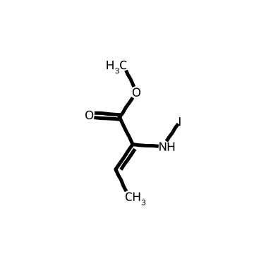 C/C=C(\NI)C(=O)OC